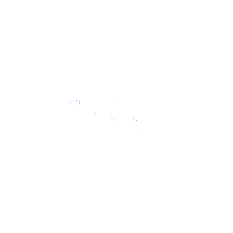 Nc1ccc2oc(N(C3CC3)C3COC3)nc2c1